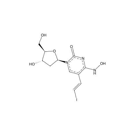 O=c1nc(NO)c(C=CI)cn1[C@H]1C[C@H](O)[C@@H](CO)O1